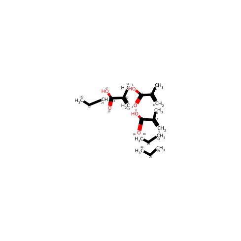 C=C(C)C(=O)O.C=C(C)C(=O)O.C=C(C)C(=O)O.CCC.CCC.CCC